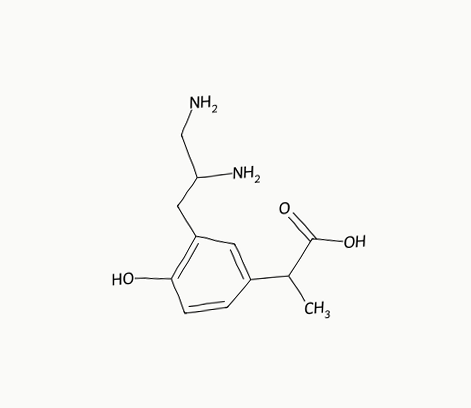 CC(C(=O)O)c1ccc(O)c(CC(N)CN)c1